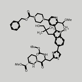 CCn1c(-c2cc(N3CCN(C(=O)OCc4ccccc4)CC3)cnc2C(C)OC)c(CC(C)(C)CO)c2cc(-c3csc(CC(NC(=O)OC(C)(C)C)C(=O)N4CCC[C@@H](C(=O)OC)N4)n3)ccc21